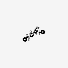 O=C(Nc1ccn([C@@H]2O[C@H](CBr)[C@@H](OC(=O)c3ccccc3)[C@@H]2F)c(=O)n1)c1ccccc1